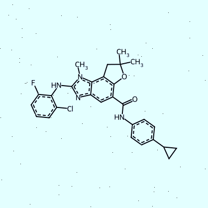 Cn1c(Nc2c(F)cccc2Cl)nc2cc(C(=O)Nc3ccc(C4CC4)cc3)c3c(c21)CC(C)(C)O3